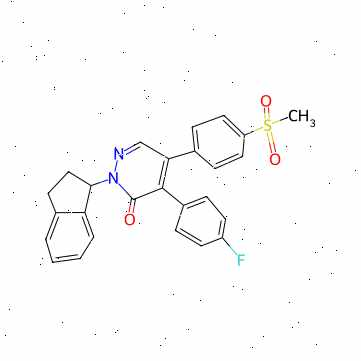 CS(=O)(=O)c1ccc(-c2cnn(C3CCc4ccccc43)c(=O)c2-c2ccc(F)cc2)cc1